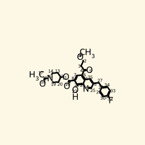 COCCC(=O)c1cc(C(=O)OC2CCN(C(C)=O)CC2)c(O)c2ncc(Cc3ccc(F)cc3)cc12